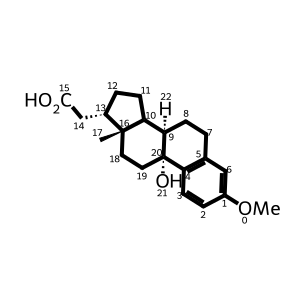 COc1ccc2c(c1)CC[C@@H]1C3CC[C@@H](CC(=O)O)[C@@]3(C)CC[C@]21O